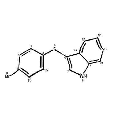 Brc1ccc(Sc2c[nH]c3ccccc23)cc1